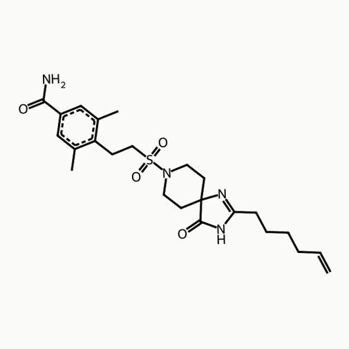 C=CCCCCC1=NC2(CCN(S(=O)(=O)CCc3c(C)cc(C(N)=O)cc3C)CC2)C(=O)N1